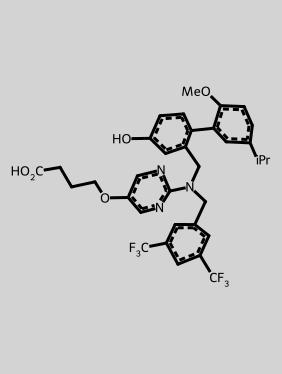 COc1ccc(C(C)C)cc1-c1ccc(O)cc1CN(Cc1cc(C(F)(F)F)cc(C(F)(F)F)c1)c1ncc(OCCCC(=O)O)cn1